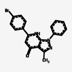 Cc1nn(-c2ccccc2)c2[nH]c(-c3ccc(Br)cc3)cc(=O)c12